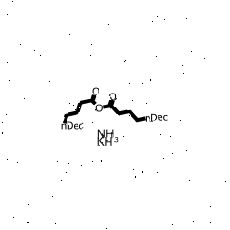 CCCCCCCCCCCCCC(=O)OC(=O)CCCCCCCCCCCCC.N.[KH]